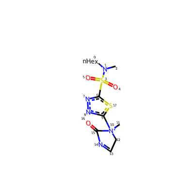 CCCCCCN(C)S(=O)(=O)c1nnc([N+]2(C)CC=NC2=O)s1